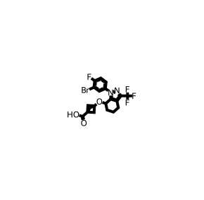 O=C(O)C12CC(OC3CCCc4c(C(F)(F)F)nn(-c5ccc(F)c(Br)c5)c43)(C1)C2